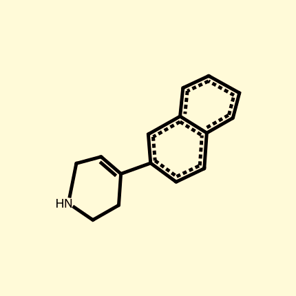 C1=C(c2ccc3ccccc3c2)CCNC1